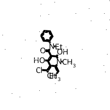 CC/C=C1\C(=C(/C)Cl)C(O)=C(C(=O)N(CC)c2ccccc2)C(O)N1C